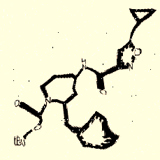 CC(C)(C)OC(=O)N1CCC(NC(=O)c2cc(C3CC3)on2)CC1Cc1ccccc1